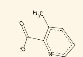 Cc1cccnc1C([O])=O